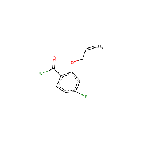 C=CCOc1cc(F)ccc1C(=O)Cl